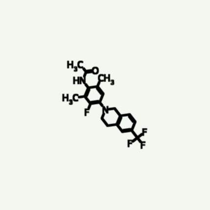 CC(=O)Nc1c(C)cc(N2CCc3cc(C(F)(F)F)ccc3C2)c(F)c1C